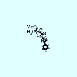 COCC(C)OC(=O)C(=O)Nc1nc(-c2ccccc2)cs1